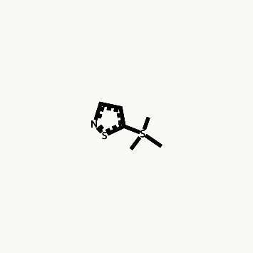 CS(C)(C)c1ccns1